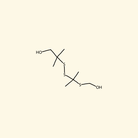 CC(C)(CO)SSC(C)(C)SCO